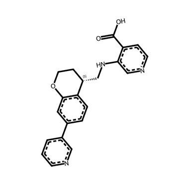 O=C(O)c1ccncc1NC[C@H]1CCOc2cc(-c3cccnc3)ccc21